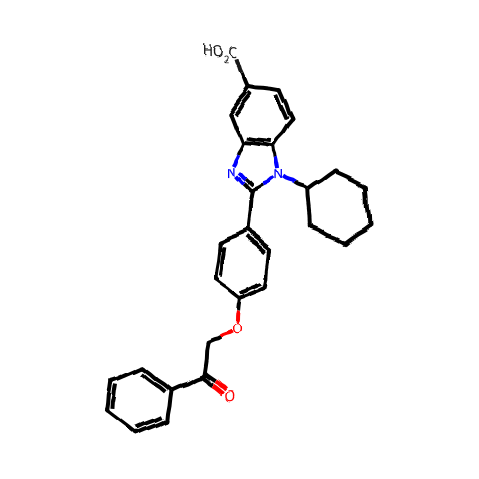 O=C(O)c1ccc2c(c1)nc(-c1ccc(OCC(=O)c3ccccc3)cc1)n2C1CCCCC1